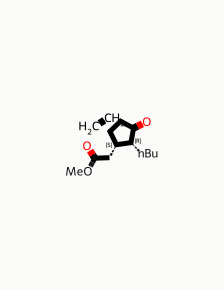 C=C.CCCC[C@H]1C(=O)CC[C@H]1CC(=O)OC